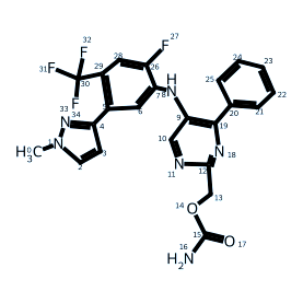 Cn1ccc(-c2cc(Nc3cnc(COC(N)=O)nc3-c3ccccc3)c(F)cc2C(F)(F)F)n1